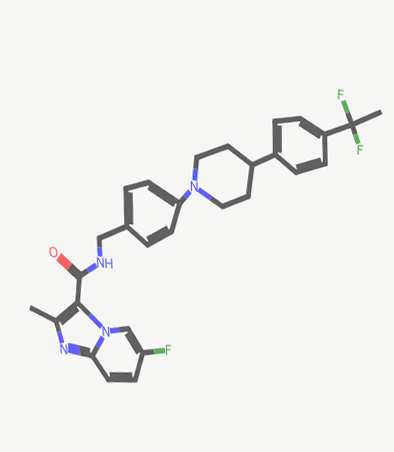 Cc1nc2ccc(F)cn2c1C(=O)NCc1ccc(N2CCC(c3ccc(C(C)(F)F)cc3)CC2)cc1